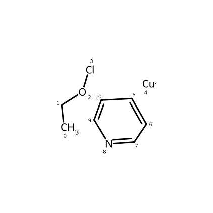 CCOCl.[Cu].c1ccncc1